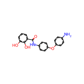 Nc1ccc(Oc2ccc(NC(=O)c3cccc(O)c3O)cc2)cc1